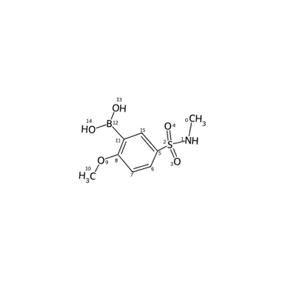 CNS(=O)(=O)c1ccc(OC)c(B(O)O)c1